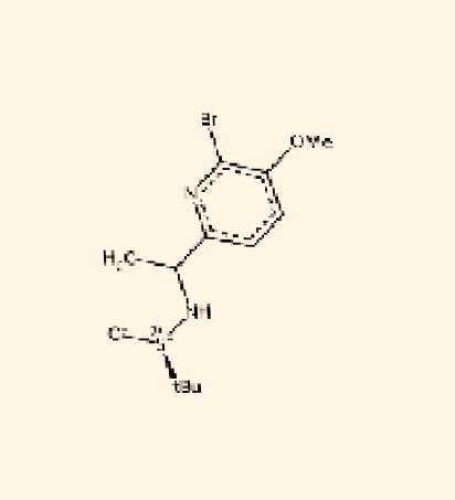 COc1ccc(C(C)N[S@+]([O-])C(C)(C)C)nc1Br